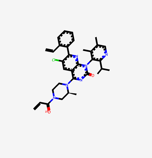 C=CC(=[18O])N1CCN(c2nc(=O)n(-c3c(C(C)C)ncc(C)c3C)c3nc(-c4ccccc4C=C)c(Cl)cc23)[C@@H](C)C1